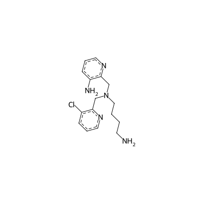 NCCCCN(Cc1ncccc1N)Cc1ncccc1Cl